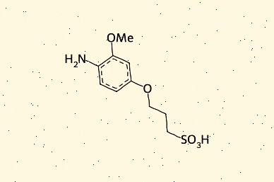 COc1cc(OCCCS(=O)(=O)O)ccc1N